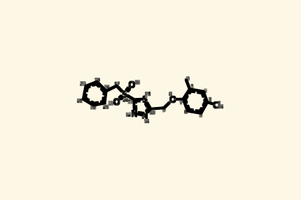 Cc1cc(Cl)ccc1OCc1nnc(S(=O)(=O)Cc2ccccc2)s1